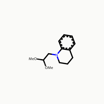 COC(CN1CCCc2ccccc21)OC